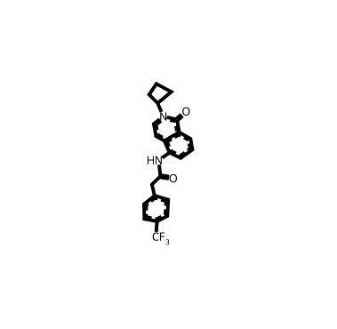 O=C(Cc1ccc(C(F)(F)F)cc1)Nc1cccc2c(=O)n(C3CCC3)ccc12